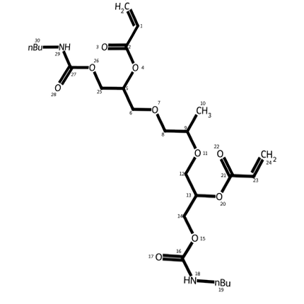 C=CC(=O)OC(COCC(C)OCC(COC(=O)NCCCC)OC(=O)C=C)COC(=O)NCCCC